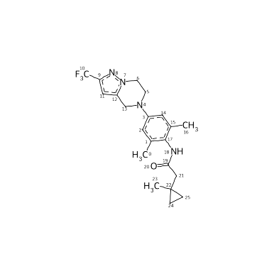 Cc1cc(N2CCn3nc(C(F)(F)F)cc3C2)cc(C)c1NC(=O)CC1(C)CC1